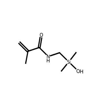 C=C(C)C(=O)NC[Si](C)(C)O